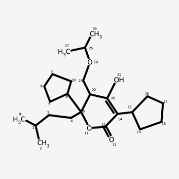 CC(C)CCC1(C2CCCC2)OC(=O)C(C2CCCC2)=C(O)C1COC(C)C